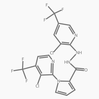 O=C(NNc1ncc(C(F)(F)F)cc1Cl)c1cccn1-c1nccc(C(F)(F)F)c1Cl